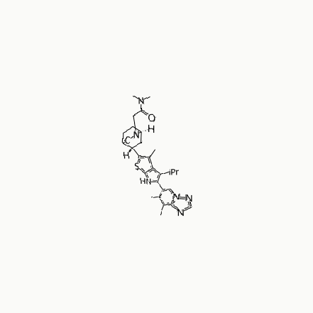 Cc1c(-c2[nH]c3sc([C@H]4C[C@@H]5CCC4CN5CC(=O)N(C)C)c(C)c3c2C(C)C)cn2ncnc2c1C